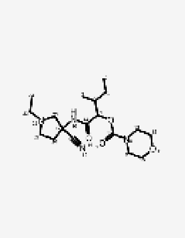 CCC(C)C(OC(=O)N1CCOCC1)C(=O)NC1(C#N)CCN(CC)C1